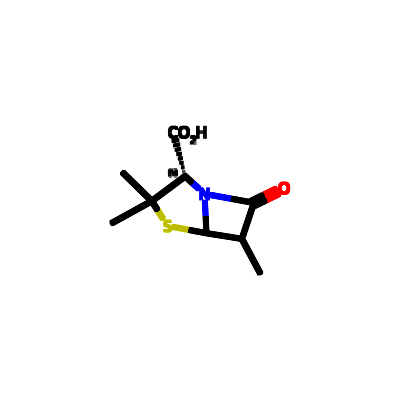 CC1C(=O)N2C1SC(C)(C)[C@@H]2C(=O)O